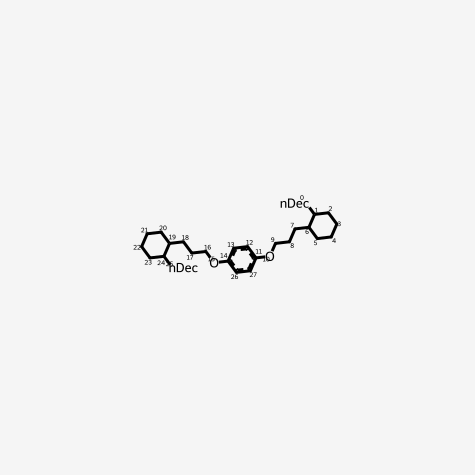 CCCCCCCCCCC1CCCCC1CCCOc1ccc(OCCCC2CCCCC2CCCCCCCCCC)cc1